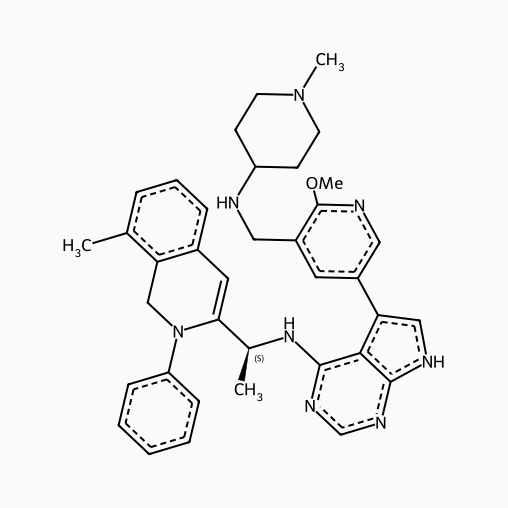 COc1ncc(-c2c[nH]c3ncnc(N[C@@H](C)C4=Cc5cccc(C)c5CN4c4ccccc4)c23)cc1CNC1CCN(C)CC1